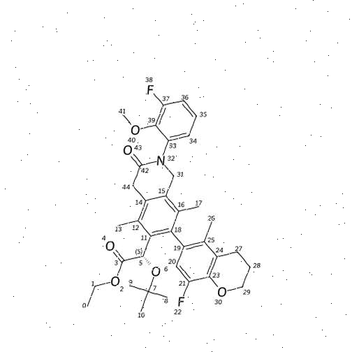 CCOC(=O)[C@@H](OC(C)(C)C)c1c(C)c2c(c(C)c1-c1cc(F)c3c(c1C)CCCO3)CN(c1cccc(F)c1OC)C(=O)C2